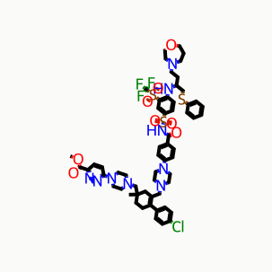 COC(=O)c1ccc(N2CCN(CC3(C)CCC(c4ccc(Cl)cc4)=C(CN4CCN(c5ccc(C(=O)NS(=O)(=O)c6ccc(NC(CCN7CCCOCC7)CSc7ccccc7)c(S(=O)(=O)C(F)(F)F)c6)cc5)CC4)C3)CC2)nn1